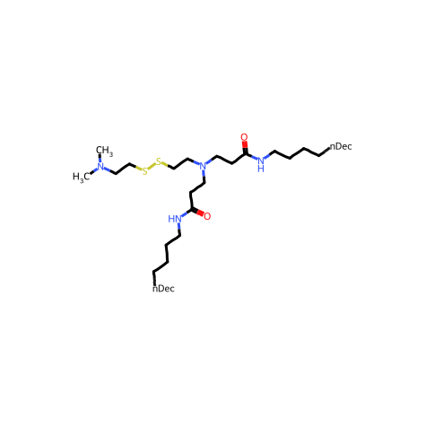 CCCCCCCCCCCCCCNC(=O)CCN(CCSSCCN(C)C)CCC(=O)NCCCCCCCCCCCCCC